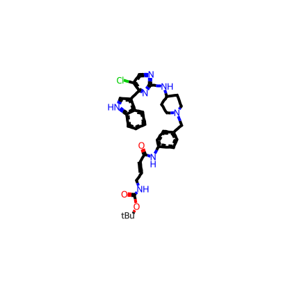 CC(C)(C)OC(=O)NC/C=C/C(=O)Nc1ccc(CN2CCC(Nc3ncc(Cl)c(-c4c[nH]c5ccccc45)n3)CC2)cc1